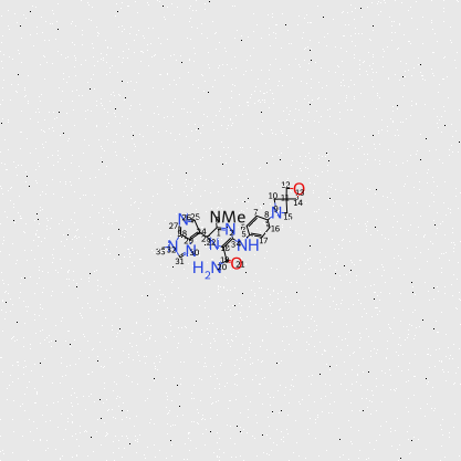 CNc1nc(Nc2ccc(N3CC4(COC4)C3)cc2)c(C(N)=O)nc1-c1cncc2c1ncn2C